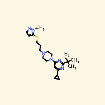 Cn1nccc1SCCCN1CCN(c2cc(C3CC3)nc(C(C)(C)C)n2)CC1